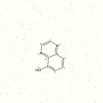 Oc1cc[c]c2nccnc12